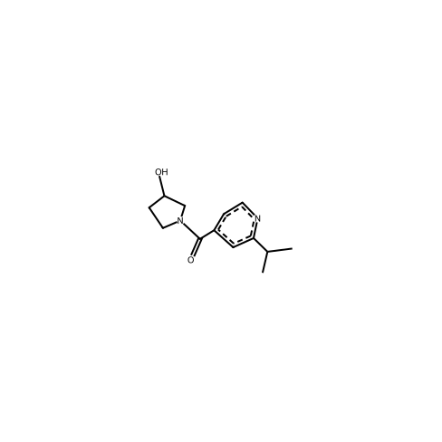 CC(C)c1cc(C(=O)N2CCC(O)C2)ccn1